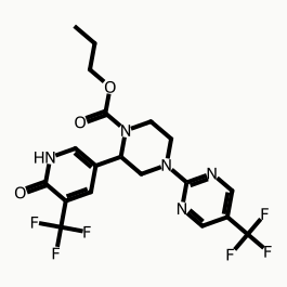 CCCOC(=O)N1CCN(c2ncc(C(F)(F)F)cn2)CC1c1c[nH]c(=O)c(C(F)(F)F)c1